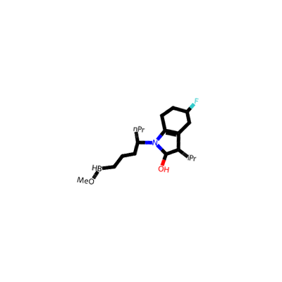 CCCC(CCCBOC)N1C2=C(CC(F)CC2)C(C(C)C)C1O